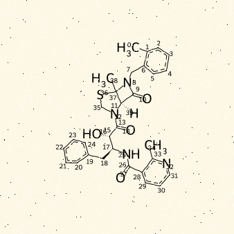 Cc1ccccc1CN1C(=O)[C@H]2N(C(=O)[C@@H](O)[C@H](Cc3ccccc3)NC(=O)c3cccnc3C)CSC21C